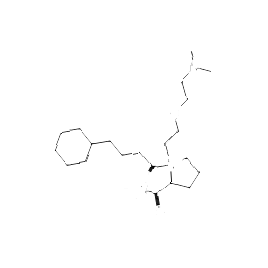 CN(C)CCOCC[N+]1(C(=O)CCCC2CCCCC2)CCCC1C(N)=O